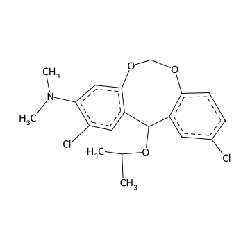 CC(C)OC1c2cc(Cl)ccc2OCOc2cc(N(C)C)c(Cl)cc21